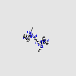 C=CCNC1=NC(NCCCCCCNC2N=C(NCC=C)N=C(C3CC4(CCCCC4)NC4(CCCCC4)C3)N2N)N(N)C(C2CC3(CCCCC3)NC3(CCCCC3)C2)=N1